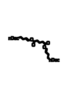 CCCCCCCCCCCCC=COC(=O)CCCC(=O)OC=CCCCCCCCCCCCC